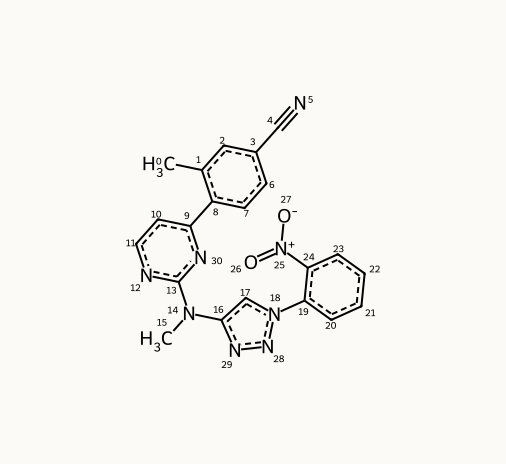 Cc1cc(C#N)ccc1-c1ccnc(N(C)c2cn(-c3ccccc3[N+](=O)[O-])nn2)n1